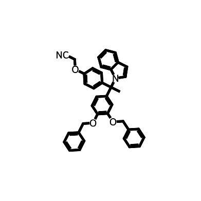 CC(c1ccc(OCC#N)cc1)(c1ccc(OCc2ccccc2)c(OCc2ccccc2)c1)n1ccc2ccccc21